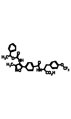 Cc1noc(-c2ccc(C(=O)NC(Cc3ccc(OC(F)(F)F)cc3)C(=O)O)cc2)c1NC(=O)OC(C)c1ccccc1